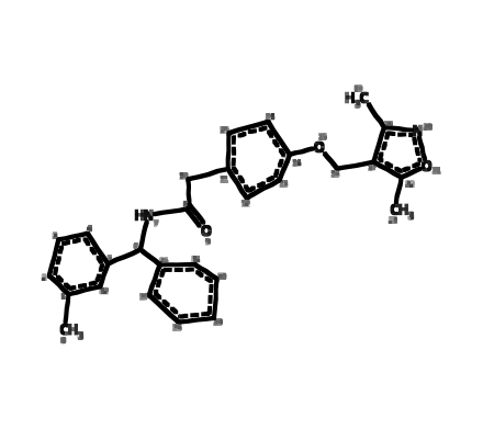 Cc1cccc(C(NC(=O)Cc2ccc(OCc3c(C)noc3C)cc2)c2ccccc2)c1